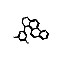 Fc1cc(F)cc(C2CCCc3ccc4c(ccc5ccccc54)c32)c1